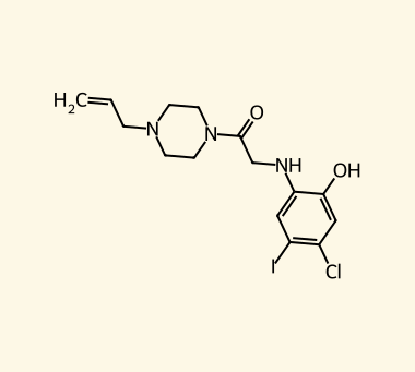 C=CCN1CCN(C(=O)CNc2cc(I)c(Cl)cc2O)CC1